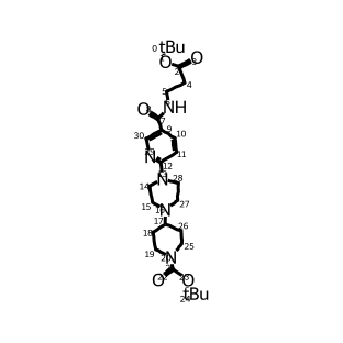 CC(C)(C)OC(=O)CCNC(=O)c1ccc(N2CCN(C3CCN(C(=O)OC(C)(C)C)CC3)CC2)nc1